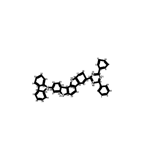 c1ccc(-c2nc(-c3ccccc3)nc(-c3ccc4sc5c(ccc6sc7cc(-n8c9ccccc9c9ccccc98)ccc7c65)c4c3)n2)cc1